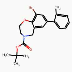 Cc1ccccc1-c1cc(Br)c2c(c1)CN(C(=O)OC(C)(C)C)CCO2